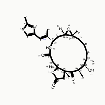 C/C(=C\c1csc(C)n1)[C@@H]1C[C@@H]2O[C@]2(C)CCC[C@H](C)[C@H](O)[C@@H](C)C(=O)[C@]2(C)CC(=O)O[C@H]2CC(=O)N1